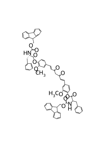 COc1cc(/C=C/C(=O)CC(=O)/C=C/c2ccc(OC(=O)[C@H](Cc3ccccc3)NC(=O)OCC3c4ccccc4-c4ccccc43)c(OC)c2)ccc1OC(=O)C(Cc1ccccc1)NC(=O)OCC1c2ccccc2-c2ccccc21